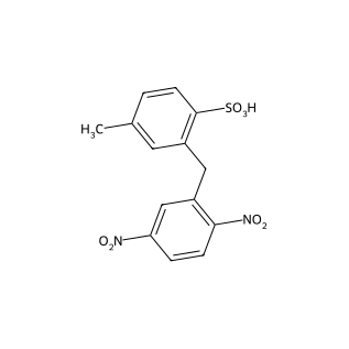 Cc1ccc(S(=O)(=O)O)c(Cc2cc([N+](=O)[O-])ccc2[N+](=O)[O-])c1